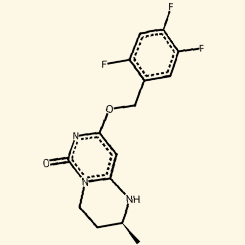 C[C@H]1CCn2c(cc(OCc3cc(F)c(F)cc3F)nc2=O)N1